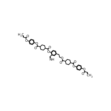 C=CC(=O)Oc1ccc(OC(=O)C2CCC(C(=O)OCCc3ccc(OC(=O)C4CCC(C(=O)Oc5ccc(OC(=O)C=C)cc5)CC4)c(C=N)c3)CC2)cc1